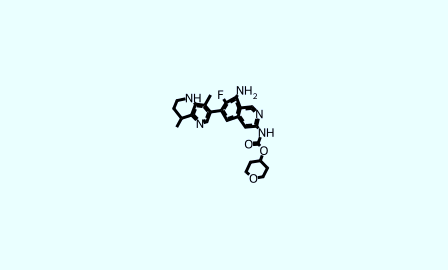 Cc1c(-c2cc3cc(NC(=O)OC4CCOCC4)ncc3c(N)c2F)cnc2c1NCCC2C